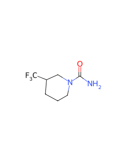 NC(=O)N1CCCC(C(F)(F)F)C1